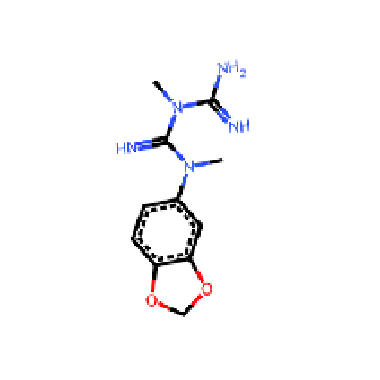 CN(C(=N)N)C(=N)N(C)c1ccc2c(c1)OCO2